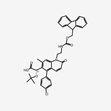 Cc1cc2c(ccc(=O)n2CCNC(=O)OCC2c3ccccc3-c3ccccc32)c(-c2ccc(Cl)cc2)c1[C@H](OC(C)(C)C)C(=O)O